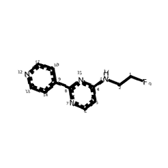 FCCNc1ccnc(-c2ccncc2)n1